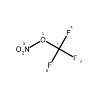 O=[N+]([O-])OC(F)(F)F